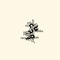 CO[C@@H]1OC(CO)[C@@H](O[C@@H]2O[C@@H](C)[C@@H](O)C(O)C2O)C(O[C@@H]2OC(CO)[C@H](O)C(O[C@]3(C(=O)O)C[C@@H](O)[C@@H](N)C([C@H](O)[C@H](O)CO)O3)C2O)[C@@H]1C